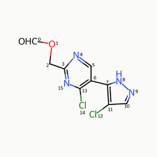 O=COCc1ncc(-c2[nH]ncc2Cl)c(Cl)n1